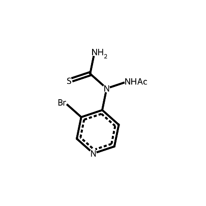 CC(=O)NN(C(N)=S)c1ccncc1Br